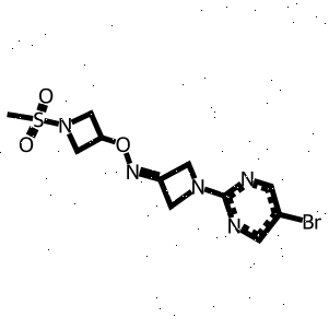 CS(=O)(=O)N1CC(ON=C2CN(c3ncc(Br)cn3)C2)C1